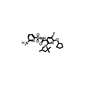 CC1CN(c2nc(OC3CCCC3)c(F)cc2C(=O)NS(=O)(=O)c2cccc(N)n2)C(C)(C)C1